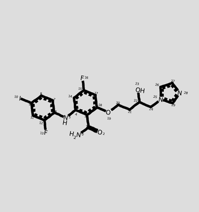 NC(=O)c1c(Nc2ccc(I)cc2F)cc(F)cc1OCCC(O)Cn1ccnc1